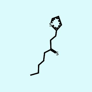 CCCCCC(=S)CCc1cccs1